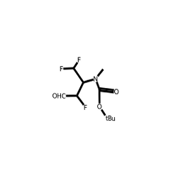 CN(C(=O)OC(C)(C)C)C(C(F)F)C(F)C=O